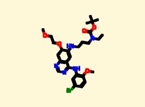 CCN(CCCNC1=Cc2c(ncnc2Nc2cc(Br)ccc2OC)CC1OCCOC)C(=O)OC(C)(C)C